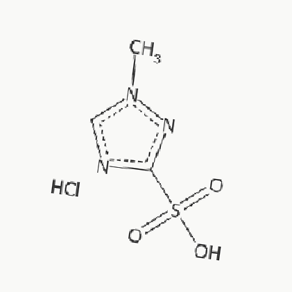 Cl.Cn1cnc(S(=O)(=O)O)n1